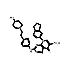 O=C(O)c1cn(-c2ccc3c(c2)CCC3)c2nc(Nc3ccc(CCN4CCC(O)CC4)cc3)ncc2c1=O